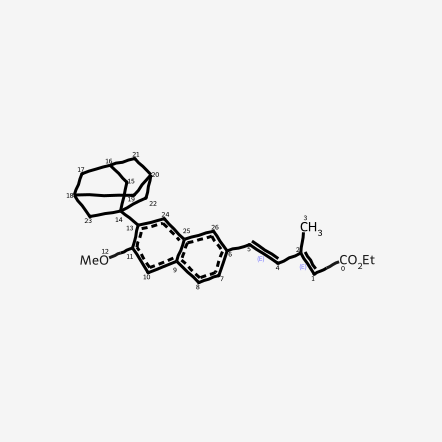 CCOC(=O)/C=C(C)/C=C/c1ccc2cc(OC)c(C34CC5CC(CC(C5)C3)C4)cc2c1